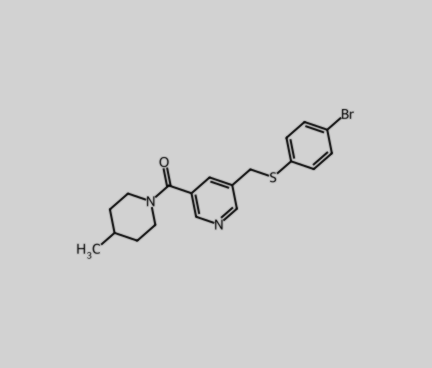 CC1CCN(C(=O)c2cncc(CSc3ccc(Br)cc3)c2)CC1